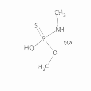 CNP(O)(=S)OC.[Na]